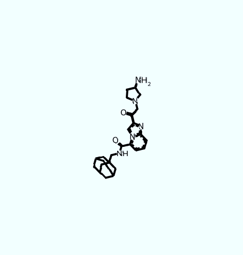 NC1CCN(CC(=O)c2cn3c(C(=O)NCC45CC6CC(CC(C6)C4)C5)cccc3n2)C1